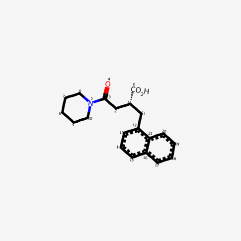 O=C(O)[C@@H](CC(=O)N1CCCCC1)Cc1cccc2ccccc12